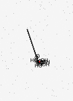 CCCCCCCCCCCCCCCCCCCCCCCCCCCC(=O)OC[C@H](O)COP(=O)(O)O[C@H]1C(O)C(O)[C@H](O)C(O)C1CO